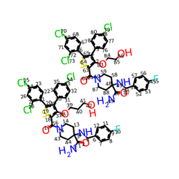 NC(=O)C1(NCc2ccc(F)cc2)CCN(C(=O)c2sc(-c3ccc(Cl)cc3Cl)c(-c3ccc(Cl)cc3)c2OCCCO)CC1.NC(=O)C1(NCc2ccc(F)cc2)CCN(C(=O)c2sc(-c3ccc(Cl)cc3Cl)c(-c3ccc(Cl)cc3)c2OCCO)CC1